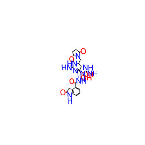 N=C1NC2C(CN3C(=O)CCC3=O)NC(=N)N3CC(NC(=O)c4cccc5c4CC(=O)N5)C(O)(O)C23N1